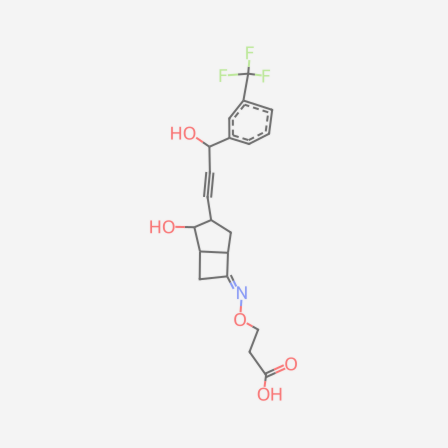 O=C(O)CCON=C1CC2C1CC(C#CC(O)c1cccc(C(F)(F)F)c1)C2O